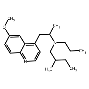 CCCN(CC(C)CC)C(C)Cc1ccnc2ccc(OC)cc12